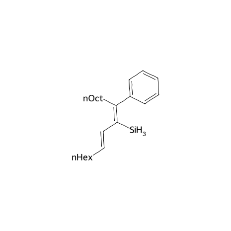 CCCCCCC=CC([SiH3])=C(CCCCCCCC)c1ccccc1